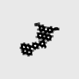 Cc1cc(-c2ccc(-c3cc4cccc5ccc6cccc3c6c54)cc2)cc(-c2c3ccccc3c(N(c3ccc(C(C)(C)C)cc3)c3ccc(C(C)(C)C)cc3)c3ccccc23)c1